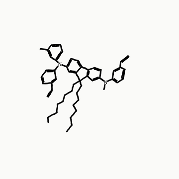 C=Cc1cccc(N(C)c2ccc3c(c2)C(CCCCCCCC)(CCCCCCCC)c2cc(N(c4cccc(C)c4)c4cccc(C=C)c4)ccc2-3)c1